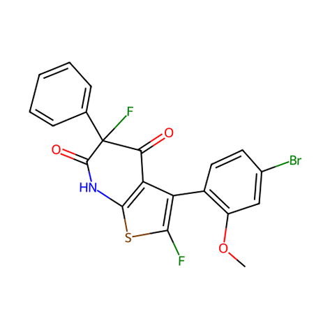 COc1cc(Br)ccc1-c1c(F)sc2c1C(=O)C(F)(c1ccccc1)C(=O)N2